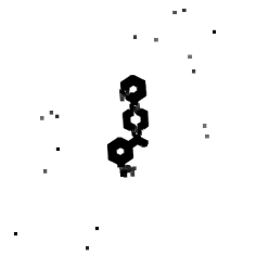 CC(C)c1cccc(C(C)N2CCN(c3ccccn3)CC2)c1